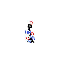 COc1ccc(CCNC(=O)Cn2cnc3c(C)cn(C)c(=O)c32)cc1